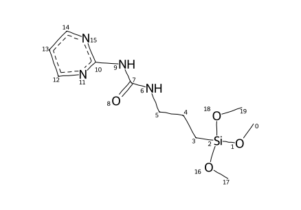 CO[Si](CCCNC(=O)Nc1ncccn1)(OC)OC